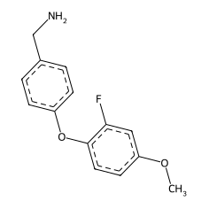 COc1ccc(Oc2ccc(CN)cc2)c(F)c1